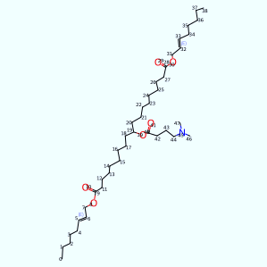 CCCCC/C=C/COC(=O)CCCCCCCCC(CCCCCCCCC(=O)OC/C=C/CCCCC)OC(=O)CCCN(C)C